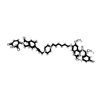 COc1cc2c(N[C@H](C)c3cccc(Br)c3)nc(C)nc2cc1OCCCCCCN1CCN(CC#Cc2cc3c(cc2F)C(=O)N(C2CCC(=O)NC2=O)C3)CC1